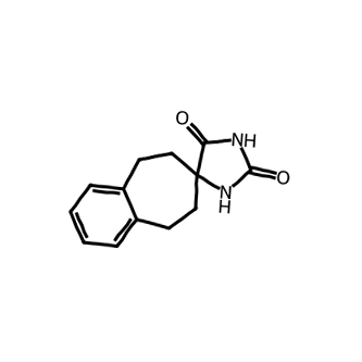 O=C1NC(=O)C2(CCc3ccccc3CC2)N1